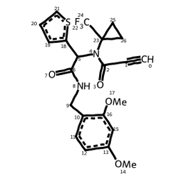 C#CC(=O)N(C(C(=O)NCc1ccc(OC)cc1OC)c1cccs1)C1(C(F)(F)F)CC1